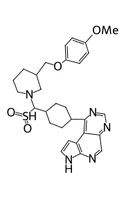 COc1ccc(OCC2CCCN(C(C3CCC(c4ncnc5cnc6[nH]ccc6c45)CC3)[SH](=O)=O)C2)cc1